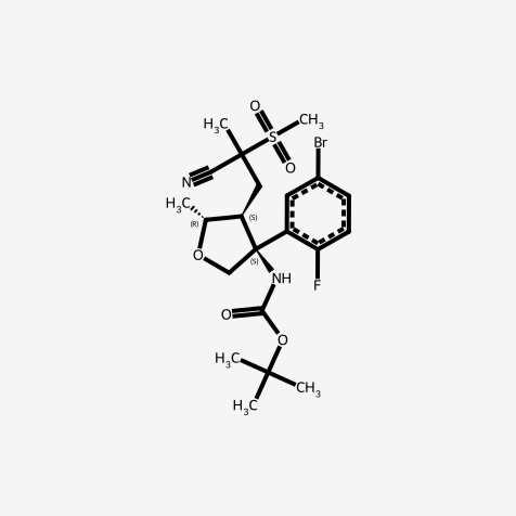 C[C@H]1OC[C@@](NC(=O)OC(C)(C)C)(c2cc(Br)ccc2F)[C@@H]1CC(C)(C#N)S(C)(=O)=O